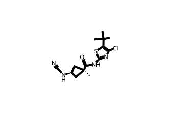 CC(C)(C)c1sc(NC(=O)[C@]2(C)C[C@H](NC#N)C2)nc1Cl